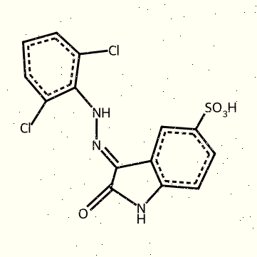 O=C1Nc2ccc(S(=O)(=O)O)cc2C1=NNc1c(Cl)cccc1Cl